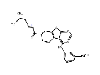 C#Cc1cccc(Nc2ncnc3sc4c(c23)CCN(C(=O)/C=C/CN(C)C)C4)c1